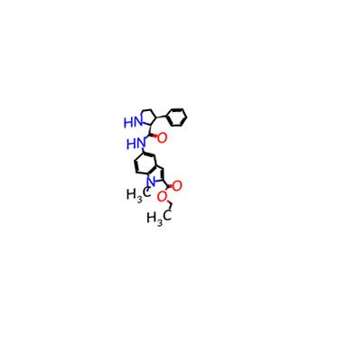 CCOC(=O)c1cc2cc(NC(=O)[C@H]3NCC[C@H]3c3ccccc3)ccc2n1C